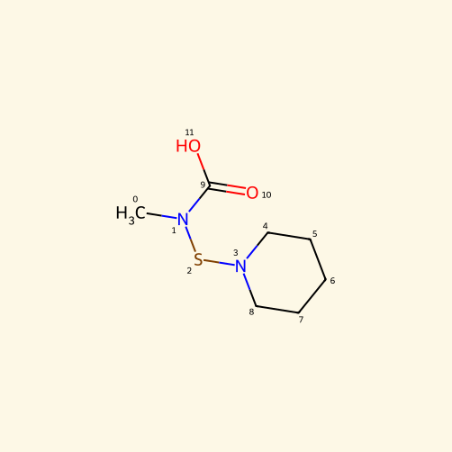 CN(SN1CCCCC1)C(=O)O